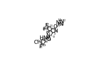 C[C@@H](c1cnc(OCc2ncn(C)n2)c2cc(F)c(F)cc12)N(C)C(=O)Nc1ccc(F)c(Cl)c1